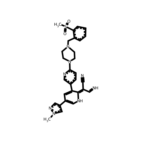 Cn1cc(C2=CN/C(=C(/C#N)C=N)C(c3ccc(N4CCN(Cc5ccccc5S(C)(=O)=O)CC4)nc3)=C2)cn1